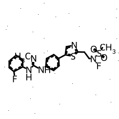 CN=C(Nc1ccc(-c2cnc(CCN(F)S(C)(=O)=O)s2)cc1)Nc1ccccc1F